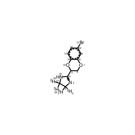 [2H]C1([2H])N=C(C2COc3cc(Br)ccc3O2)NC1([2H])[2H]